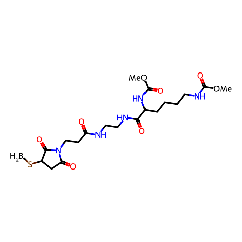 BSC1CC(=O)N(CCC(=O)NCCNC(=O)C(CCCCNC(=O)OC)NC(=O)OC)C1=O